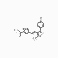 Cc1onc(-c2ccc(F)cc2)c1/C=C/c1cc(C(N)=O)[nH]n1